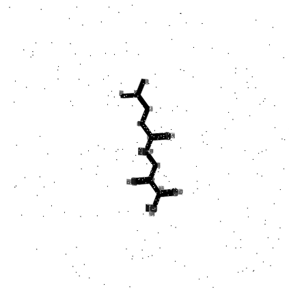 CC(C)CCC(=O)NCC(=O)C(=O)O